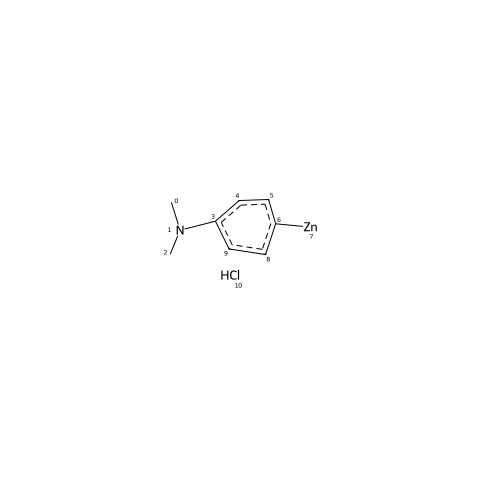 CN(C)c1cc[c]([Zn])cc1.Cl